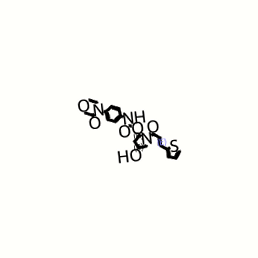 O=C(Nc1ccc(N2CCOCC2=O)cc1)O[C@@H]1C[C@@H](O)CN1C(=O)/C=C/c1cccs1